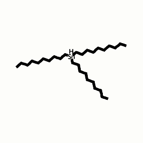 CCCCCCCCC[CH2][SnH]([CH2]CCCCCCCCC)[CH2]CCCCCCCCC